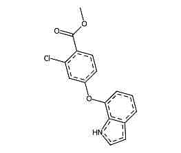 COC(=O)c1ccc(Oc2cccc3cc[nH]c23)cc1Cl